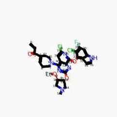 C=CC(=O)C1=CCCN(c2nc(O[C@@H]3CN(C)C[C@H]3OCC)nc3c(Oc4c(Cl)c(F)cc5[nH]ccc45)nc(Cl)cc23)CC1